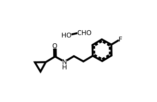 O=C(NCCc1ccc(F)cc1)C1CC1.O=CO